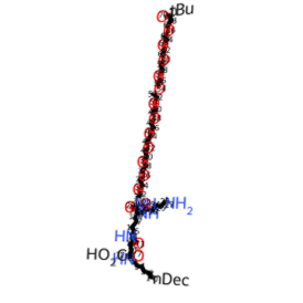 CCCCCCCCCCCCCCCC(=O)N[C@H](CCC(=O)NCCCC[C@@H](NC(=O)CCCCN)C(=O)NCCOCCOCCOCCOCCOCCOCCOCCOCCOCCOCCOCCOCCC(=O)C(C)(C)C)C(=O)O